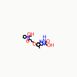 Cc1cc(OCCCC(=O)N(C(C)O)C2CCCC2)cc2c1CN1C(=N2)NC(=O)C1CO